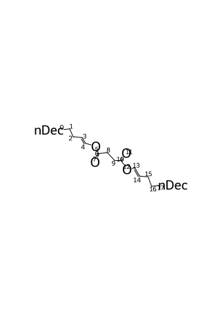 CCCCCCCCCCCC/C=C/OC(=O)CCC(=O)O/C=C/CCCCCCCCCCCC